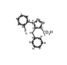 O=C(O)c1nnn(-c2ccccc2F)c1Cc1ccccc1